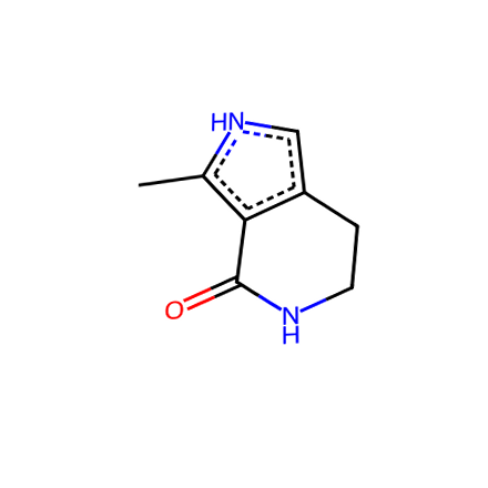 Cc1[nH]cc2c1C(=O)NCC2